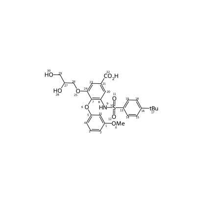 COc1cccc(Oc2c(NS(=O)(=O)c3ccc(C(C)(C)C)cc3)cc(C(=O)O)cc2OCC(O)CO)c1